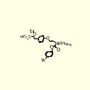 CCCCCCN(CCOc1ccc(CC(OCC)C(=O)O)cc1)C(=O)Oc1ccc(Br)cc1